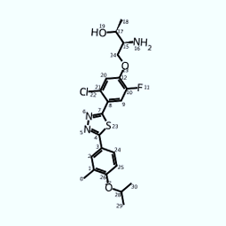 Cc1cc(-c2nnc(-c3cc(F)c(OC[C@H](N)[C@H](C)O)cc3Cl)s2)ccc1OC(C)C